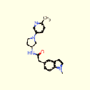 Cn1ccc2cc(CC(=O)NC3CCN(c4ccc(C(F)(F)F)nc4)C3)ccc21